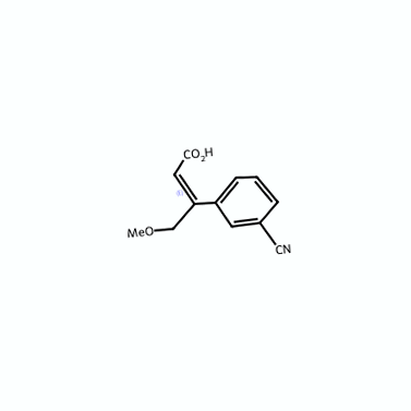 COC/C(=C/C(=O)O)c1cccc(C#N)c1